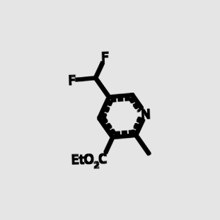 CCOC(=O)c1cc(C(F)F)cnc1C